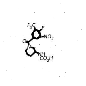 O=C(O)NC1CCCN(C(=O)c2cc([N+](=O)[O-])c(F)c(C(F)(F)F)c2)C1